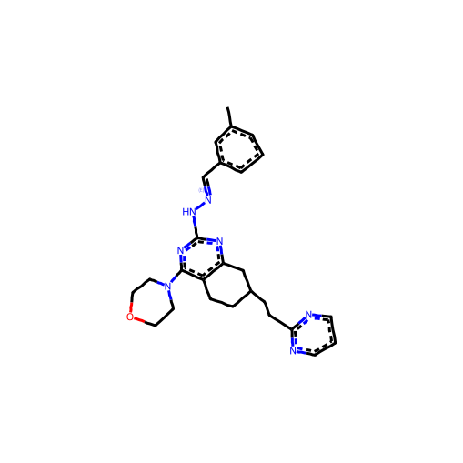 Cc1cccc(/C=N/Nc2nc3c(c(N4CCOCC4)n2)CCC(CCc2ncccn2)C3)c1